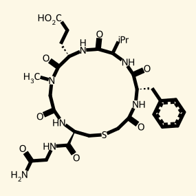 CC(C)C1NC(=O)[C@H](Cc2ccccc2)NC(=O)CSC[C@@H](C(=O)NCC(N)=O)NC(=O)CN(C)C(=O)[C@H](CCC(=O)O)NC1=O